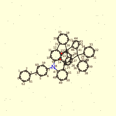 c1ccc(-c2ccc(N(c3ccc4c(c3)C3(c5ccccc5-4)c4ccccc4C(c4ccccc4)(c4ccccc4)c4ccccc43)c3ccccc3-c3ccccc3)cc2)cc1